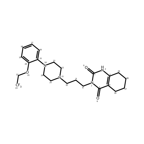 O=c1[nH]c2c(c(=O)n1CCCN1CCN(c3ccccc3OCC(F)(F)F)CC1)CCCC2